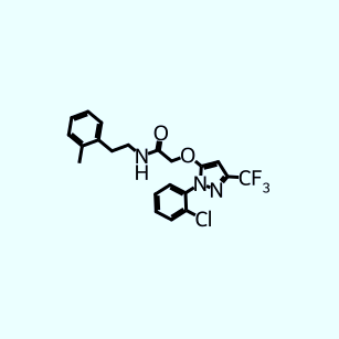 Cc1ccccc1CCNC(=O)COc1cc(C(F)(F)F)nn1-c1ccccc1Cl